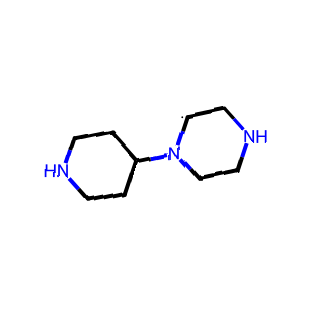 [CH]1CNCCN1C1CCNCC1